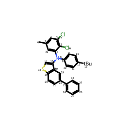 Cc1cc(Cl)c(Cl)c(N(c2ccc(C(C)(C)C)cc2)c2csc3ccc(-c4ccccc4)cc23)c1